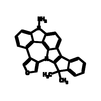 CC1(C)c2ccccc2-c2c1n1c3cocc3c3cccc4c3c3c(ccc2c31)n4N